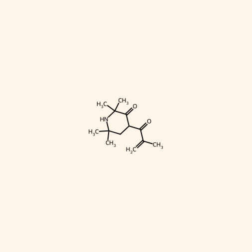 C=C(C)C(=O)C1CC(C)(C)NC(C)(C)C1=O